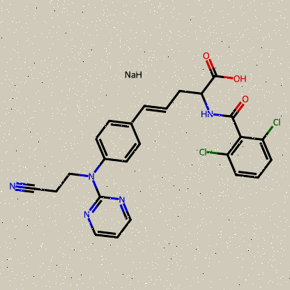 N#CCCN(c1ccc(C=CCC(NC(=O)c2c(Cl)cccc2Cl)C(=O)O)cc1)c1ncccn1.[NaH]